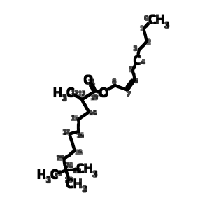 CCCCCC/C=C\COC(=O)C(C)CCCCCCC(C)(C)C